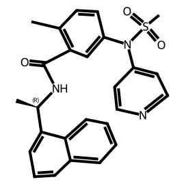 Cc1ccc(N(c2ccncc2)S(C)(=O)=O)cc1C(=O)N[C@H](C)c1cccc2ccccc12